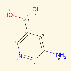 Nc1cncc(B(O)O)c1